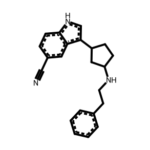 N#Cc1ccc2[nH]cc(C3CCC(NCCc4ccccc4)C3)c2c1